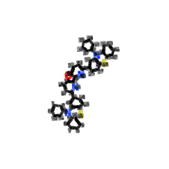 c1ccc(N2c3ccccc3Sc3ccc(-c4ccc5oc6ccc(-c7ccc8c(c7)N(c7ccccc7)c7ccccc7S8)nc6c5n4)cc32)cc1